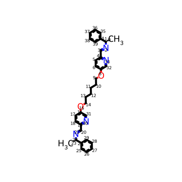 C[C@@H](/N=C/c1ccc(OCCCCCCOc2ccc(/C=N/[C@H](C)c3ccccc3)nc2)cn1)c1ccccc1